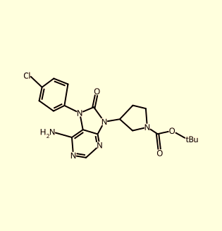 CC(C)(C)OC(=O)N1CCC(n2c(=O)n(-c3ccc(Cl)cc3)c3c(N)ncnc32)C1